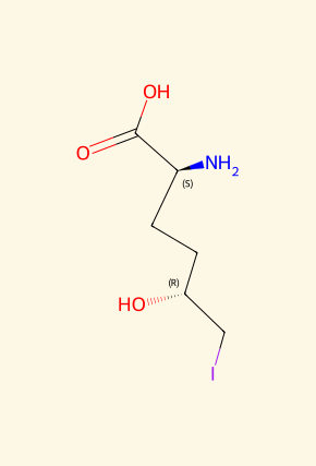 N[C@@H](CC[C@@H](O)CI)C(=O)O